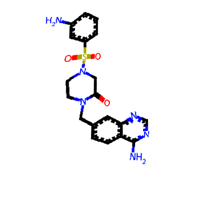 Nc1cccc(S(=O)(=O)N2CCN(Cc3ccc4c(N)ncnc4c3)C(=O)C2)c1